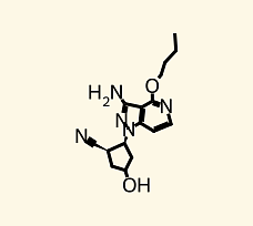 CCCCOc1nccc2c1c(N)nn2[C@H]1CC(O)C[C@H]1C#N